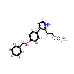 CCOC(=O)CCc1[nH]ccc1-c1ccc(OCc2ccccc2)cc1